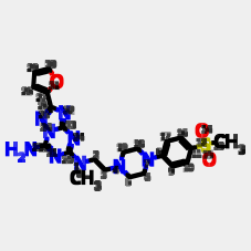 CN(CCN1CCN(c2ccc(S(C)(=O)=O)cc2)CC1)c1nc(N)n2nc(-c3ccco3)nc2n1